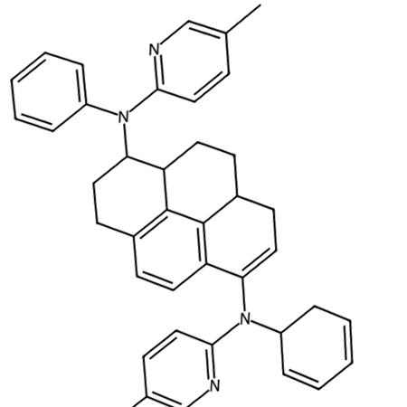 Cc1ccc(N(C2=CCC3CCC4c5c(ccc2c53)CCC4N(c2ccccc2)c2ccc(C)cn2)C2C=CC=CC2)nc1